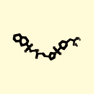 CN(C)Cc1ccc(S(=O)(=O)n2ccc(/C=C/C(=O)NOS(=O)(=O)c3ccc4ccccc4c3)c2)cc1